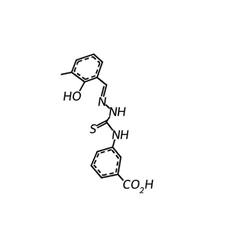 Cc1cccc(C=NNC(=S)Nc2cccc(C(=O)O)c2)c1O